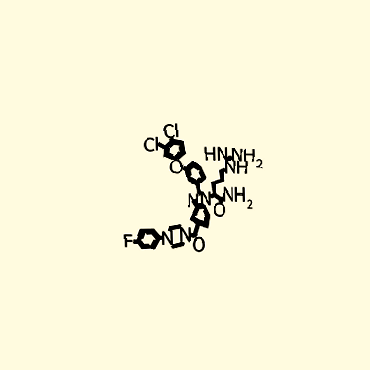 N=C(N)NCCCC(C(N)=O)n1c(-c2cccc(Oc3ccc(Cl)c(Cl)c3)c2)nc2cc(C(=O)N3CCN(c4ccc(F)cc4)CC3)ccc21